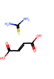 NC(N)=S.O=C(O)C=CC(=O)O